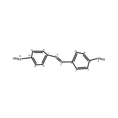 CCCCCCc1ccc(N=Nc2ccc(CCCCCC)cc2)cc1